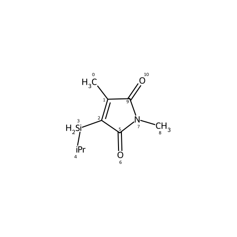 CC1=C([SiH2]C(C)C)C(=O)N(C)C1=O